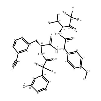 COc1ccc([C@H](NC(=O)[C@H](Cc2cccc(C#N)c2)NC(=O)C(F)(F)c2cccc(Cl)c2)C(=O)N[C@H](C(=O)C(F)(F)F)C(C)C)cc1